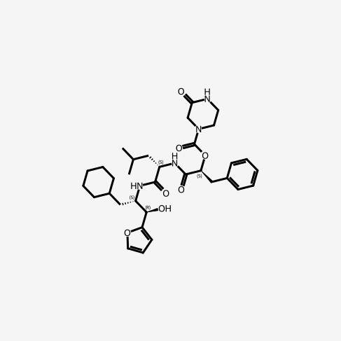 CC(C)C[C@H](NC(=O)[C@H](Cc1ccccc1)OC(=O)N1CCNC(=O)C1)C(=O)N[C@@H](CC1CCCCC1)[C@@H](O)c1ccco1